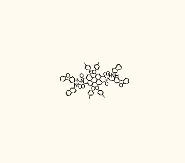 Cc1ccc(Oc2cc3c4c(cc(Oc5ccc(C)cc5)c5c6c(Oc7ccc(C)cc7)cc7c8c(cc(Oc9ccc(C)cc9)c(c2c45)c86)C(=O)N(C(Cc2ccc4c(c2)oc2ccccc24)C(=O)Nc2ccc4ccccc4c2)C7=O)C(=O)N(C(Cc2ccc4c(c2)oc2ccccc24)C(=O)Nc2ccc4ccccc4c2)C3=O)cc1